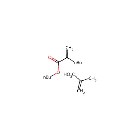 C=C(C)C(=O)O.C=C(CCCC)C(=O)OCCCC